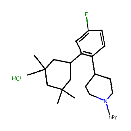 CCCN1CCC(c2ccc(F)cc2C2CC(C)(C)CC(C)(C)C2)CC1.Cl